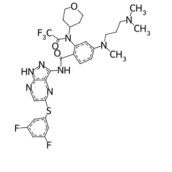 CN(C)CCCN(C)c1ccc(C(=O)Nc2n[nH]c3ncc(Sc4cc(F)cc(F)c4)nc23)c(N(C(=O)C(F)(F)F)C2CCOCC2)c1